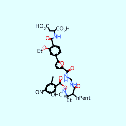 CCCCCC(C(=O)NCNC(=O)c1ccc(-c2ccc(C(=O)NC(CC(=O)O)C(=O)O)c(OCC)c2)o1)[C@@H](CC)N(C=O)OC(=O)c1ccc(N=O)cc1C